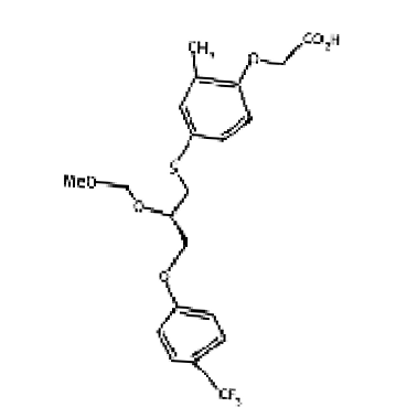 COCO[C@H](COc1ccc(C(F)(F)F)cc1)CSc1ccc(OCC(=O)O)c(C)c1